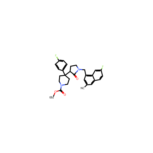 CC(C)(C)OC(=O)N1CCC(c2ccc(F)cc2)(C2CCN(Cc3cc(C#N)cc4ccc(F)cc34)C2=O)CC1